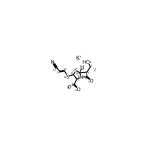 C[C@@H](O)[C@H]1C(=O)N2C(C(=O)[O-])C(SC=CC#N)S[C@H]12.[K+]